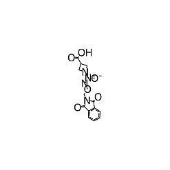 O=C(O)C1CN([N+]([O-])=NOCN2C(=O)c3ccccc3C2=O)C1